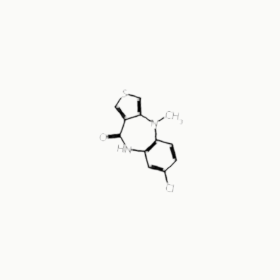 CN1c2ccc(Cl)cc2NC(=O)c2cscc21